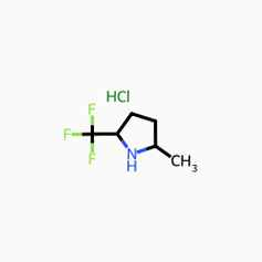 CC1CCC(C(F)(F)F)N1.Cl